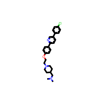 CN(C)CC1CCN(CCOc2ccc(-c3ccc(-c4ccc(Cl)cc4)cn3)cc2)CC1